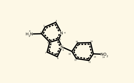 Nc1ccnc2c1ccn2-c1ccc([N+](=O)[O-])cc1